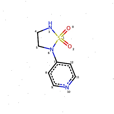 O=S1(=O)NCCN1c1ccncc1